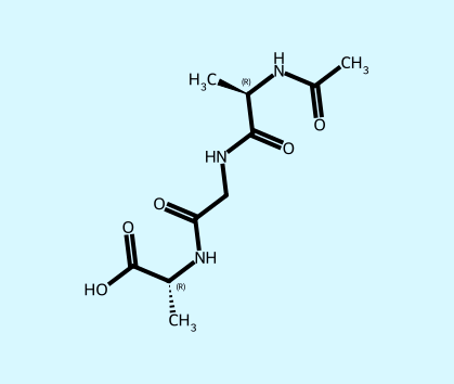 CC(=O)N[C@H](C)C(=O)NCC(=O)N[C@H](C)C(=O)O